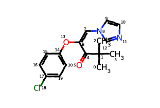 CC(C)(C)C(=O)/C(=C\n1ccnc1)Oc1ccc(Cl)cc1